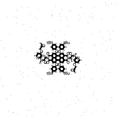 CCC(C(=O)N(C)c1cc(OCC2CO2)ccn1)N1C(=O)c2cc(Oc3ccc(C(C)(C)C)cc3)c3c4c(Oc5ccc(C(C)(C)C)cc5)cc5c6c(cc(Oc7ccc(C(C)(C)C)cc7)c(c7c(Oc8ccc(C(C)(C)C)cc8)cc(c2c37)C1=O)c64)C(=O)N(C(CC)C(=O)N(C)c1cc(OCC2CO2)ccn1)C5=O